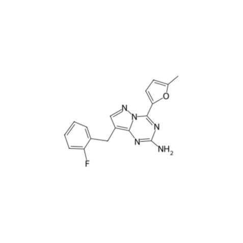 Cc1ccc(-c2nc(N)nc3c(Cc4ccccc4F)cnn23)o1